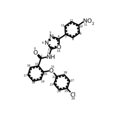 O=C(Nc1nnc(-c2ccc([N+](=O)[O-])cc2)o1)c1ccccc1Oc1ccc(Cl)cc1